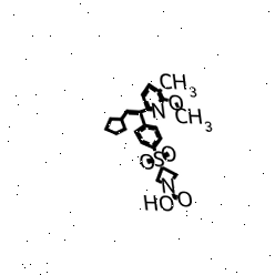 COc1nc(/C(=C/C2CCCC2)c2ccc(S(=O)(=O)C3CN(C(=O)O)C3)cc2)ccc1C